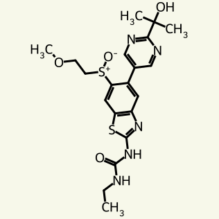 CCNC(=O)Nc1nc2cc(-c3cnc(C(C)(C)O)nc3)c([S+]([O-])CCOC)cc2s1